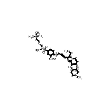 COc1cc(S(=O)(=O)N(C)COCC[Si](C)(C)C)ccc1NCC#Cc1nc2c(N[C@@H]3CCN(C)C[C@@H]3F)cccn2c1CC(F)(F)F